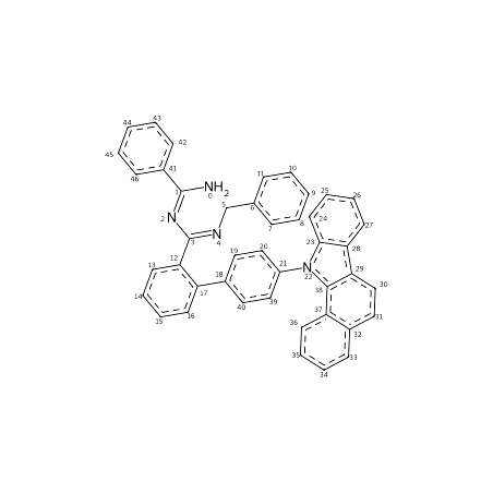 N/C(=N\C(=N/Cc1ccccc1)c1ccccc1-c1ccc(-n2c3ccccc3c3ccc4ccccc4c32)cc1)c1ccccc1